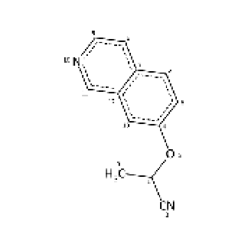 CC(C#N)Oc1ccc2ccncc2c1